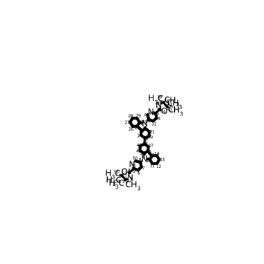 CC1(C)N=C(c2ccc(-n3c4ccccc4c4cc(-c5ccc6c(c5)c5ccccc5n6-c5ccc(C6=NC(C)(C)C(C)(C)O6)nc5)ccc43)cn2)OC1(C)C